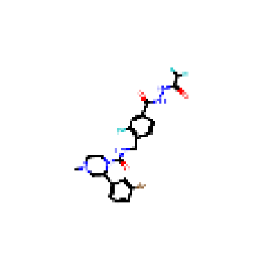 CN1CCN(C(=O)NCc2ccc(C(=O)NNC(=O)C(F)F)cc2F)C(c2cccc(Br)c2)C1